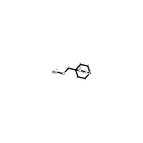 CC(C)(C)OCC12CCN(CC1)CC2